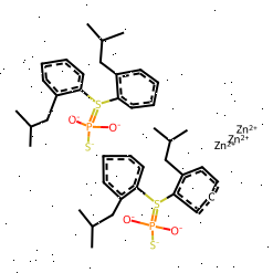 CC(C)Cc1ccccc1S(c1ccccc1CC(C)C)=P([O-])([O-])[S-].CC(C)Cc1ccccc1S(c1ccccc1CC(C)C)=P([O-])([O-])[S-].[Zn+2].[Zn+2].[Zn+2]